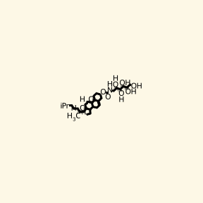 CC(C)CCC[C@@H](C)[C@H]1CCC2C3CC=C4CC(OC(=O)NC[C@H](O)[C@@H](O)[C@H](O)[C@H](O)CO)CC[C@]4(C)C3CC[C@@]21C